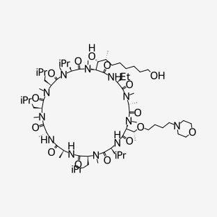 CC[C@@H]1NC(=O)[C@H]([C@H](O)[C@H](C)CCCCCCO)N(C)C(=O)[C@H](C(C)C)N(C)C(=O)[C@H](CC(C)C)N(C)C(=O)[C@H](CC(C)C)N(C)C(=O)[C@@H](C)NC(=O)[C@H](C)NC(=O)[C@H](CC(C)C)N(C)C(=O)[C@H](C(C)C)NC(=O)[C@H]([C@@H](C)OCCCCN2CCOCC2)N(C)C(=O)[C@@H](C)N(C)C1=O